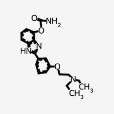 CCN(CC)CCOc1cccc(-c2nc3c(OC(N)=O)cccc3[nH]2)c1